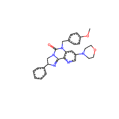 COc1ccc(CN2C(=O)N3CC(c4ccccc4)N=C3c3ncc(N4CCOCC4)cc32)cc1